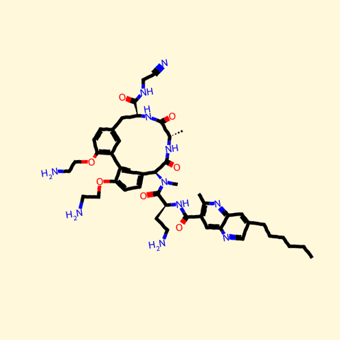 CCCCCCc1cnc2cc(C(=O)N[C@@H](CCN)C(=O)N(C)[C@@H]3C(=O)N[C@@H](C)C(=O)N[C@H](C(=O)NCC#N)Cc4ccc(OCCN)c(c4)-c4cc3ccc4OCCN)c(C)nc2c1